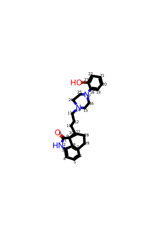 O=C1Nc2cccc3c2C1(CCCCN1CCN(c2ccccc2O)CC1)CCC3